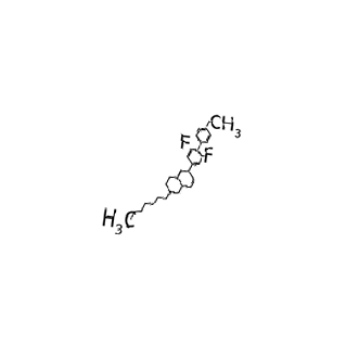 CCCCCCCC1CCC2CC(c3cc(F)c(-c4ccc(CC)cc4)c(F)c3)CCC2C1